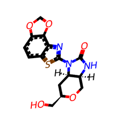 O=C1N[C@H]2CO[C@@H](CO)C[C@H]2N1c1nc2c3c(ccc2s1)OCO3